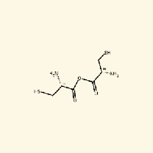 N[C@@H](CS)C(=O)OC(=O)[C@@H](N)CS